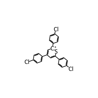 Clc1ccc(-c2cc(-c3ccc(Cl)cc3)s[c+](-c3ccc(Cl)cc3)c2)cc1